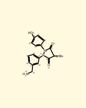 CCCCC1C(=O)N(c2ccc(O)cc2)N(c2cccc(CN)c2)C1=O